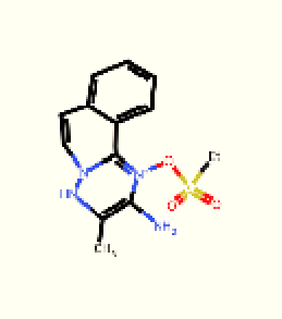 CCS(=O)(=O)O[N+]1=C2c3ccccc3C=CN2NC(C)=C1N